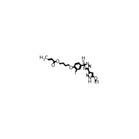 C/C=C/C(=O)OCCCCOc1ccc(C2(S)N=NC(c3cc(OCC)[nH]n3)=N2)cc1I